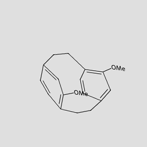 COc1cc2ccc1CCc1ccc(c(OC)c1)CC2